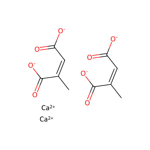 CC(=CC(=O)[O-])C(=O)[O-].CC(=CC(=O)[O-])C(=O)[O-].[Ca+2].[Ca+2]